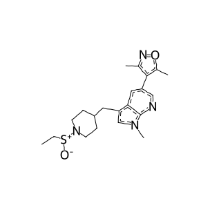 CC[S+]([O-])N1CCC(Cc2cn(C)c3ncc(-c4c(C)noc4C)cc23)CC1